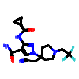 N#CCC1(n2cc(C(N)=O)c(NC(=O)C3CC3)n2)CCN(CC(F)(F)F)CC1